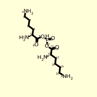 NCCCC[C@H](N)C(=O)O[PH](=O)OC(=O)[C@@H](N)CCCCN